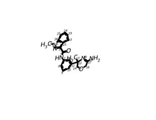 Cn1nc(C(=O)Nc2cccc(C3(C)COCC(N)=N3)c2)c2ccccc21